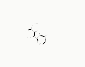 COc1ccnc2c(Br)c(C(=O)O)sc12